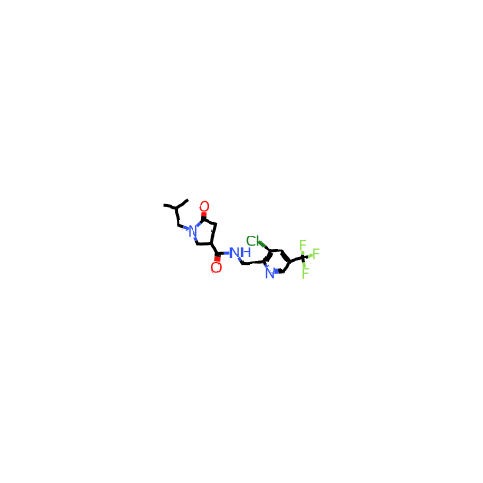 CC(C)CN1CC(C(=O)NCc2ncc(C(F)(F)F)cc2Cl)CC1=O